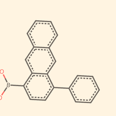 OB(O)c1ccc(-c2ccccc2)c2cc3ccccc3cc12